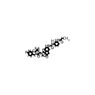 CCC(=O)Nc1cccc(NC(=O)Nc2ccc3c(c2)CC(=O)[C@]32OCN(CC(=O)N(Cc3ccc(F)cc3)C(C)C(F)(F)F)C2=O)c1